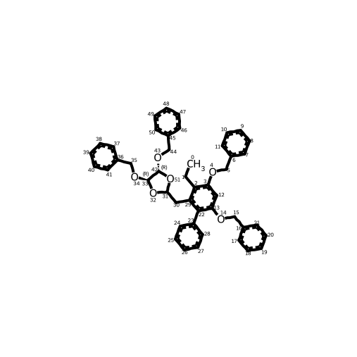 CCc1c(OCc2ccccc2)cc(OCc2ccccc2)c(-c2ccccc2)c1CC1O[C@@H](OCc2ccccc2)[C@H](OCc2ccccc2)O1